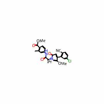 COC(=O)c1ccc(NC(=O)C(C(C)C)n2cc(OC)c(-c3cc(Cl)ccc3C#N)cc2=O)cc1C